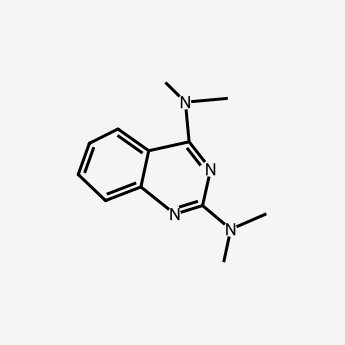 CN(C)c1nc(N(C)C)c2ccccc2n1